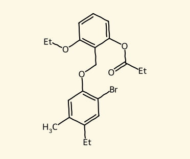 CCOc1cccc(OC(=O)CC)c1COc1cc(C)c(CC)cc1Br